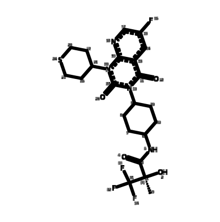 C[C@@](O)(C(=O)NC1CCC(n2c(=O)c3cc(F)cnc3n(C3CCSCC3)c2=O)CC1)C(F)(F)F